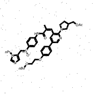 CCCCOCCOc1ccc(-c2cnc(N3CCC(COC(C)=O)C3)c(C=C(C)C(=O)Nc3ccc([S@@+]([O-])Cc4cncn4CCC)cc3)c2)cc1